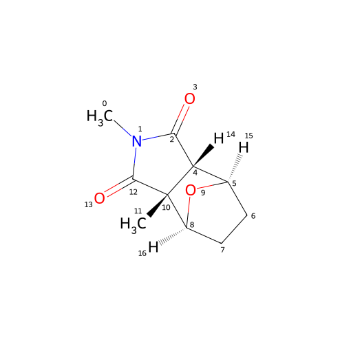 CN1C(=O)[C@@H]2[C@H]3CC[C@H](O3)[C@]2(C)C1=O